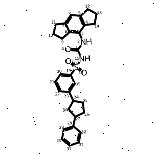 O=C(Nc1c2c(cc3c1CCC3)CCC2)NS(=O)(=O)c1cccc(C2CCC(c3ccccc3)C2)c1